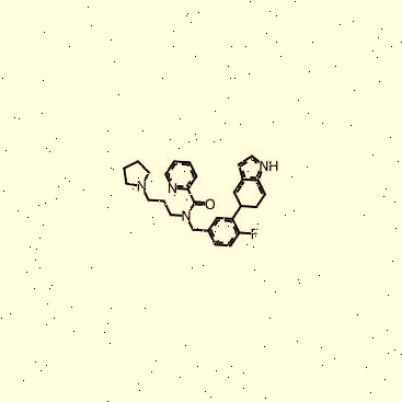 O=C(c1ccccn1)N(CCCN1CCCC1)Cc1ccc(F)c(C2C=c3cc[nH]c3=CC2)c1